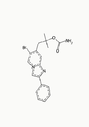 CC(C)(Cc1cc2nc(-c3ccccc3)cn2cc1Br)OC(N)=O